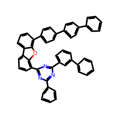 c1ccc(-c2ccc(-c3ccc(-c4cccc5c4oc4c(-c6nc(-c7ccccc7)nc(-c7cccc(-c8ccccc8)c7)n6)cccc45)cc3)cc2)cc1